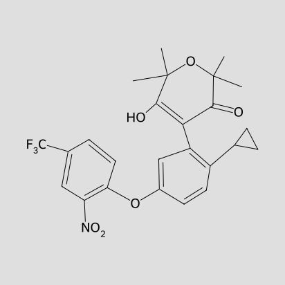 CC1(C)OC(C)(C)C(O)=C(c2cc(Oc3ccc(C(F)(F)F)cc3[N+](=O)[O-])ccc2C2CC2)C1=O